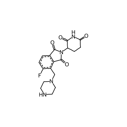 O=C1CCC(N2C(=O)c3ccc(F)c(CN4CCNCC4)c3C2=O)C(=O)N1